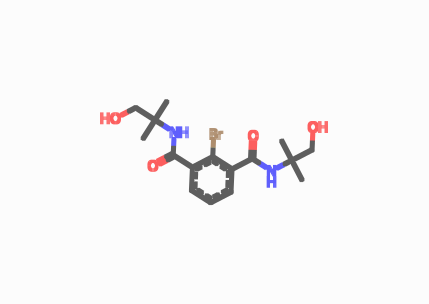 CC(C)(CO)NC(=O)c1cccc(C(=O)NC(C)(C)CO)c1Br